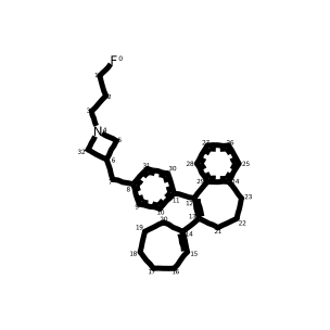 FCCCN1CC(Cc2ccc(C3=C(C4=CCCCCC4)CCCc4ccccc43)cc2)C1